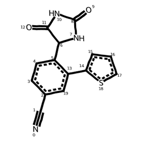 N#Cc1ccc(C2NC(=O)NC2=O)c(-c2cccs2)c1